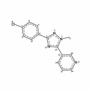 Cn1nc(-c2ccc(Cl)cc2)nc1-c1cccnc1